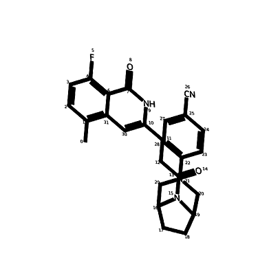 Cc1ccc(F)c2c(=O)[nH]c(CCC(=O)N3C4CCC3CN(c3ccc(C#N)cc3)C4)cc12